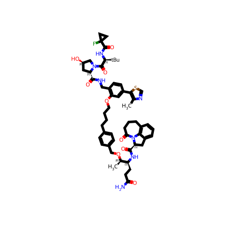 Cc1ncsc1-c1ccc(CNC(=O)[C@@H]2C[C@@H](O)CN2C(=O)[C@@H](NC(=O)C2(F)CC2)C(C)(C)C)c(OCCCCc2ccc(CO[C@H](C)[C@H](CCC(N)=O)NC(=O)[C@@H]3Cc4cccc5c4N3C(=O)CCC5)cc2)c1